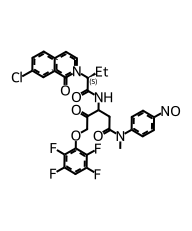 CC[C@@H](C(=O)NC(CC(=O)N(C)c1ccc(N=O)cc1)C(=O)COc1c(F)c(F)cc(F)c1F)n1ccc2ccc(Cl)cc2c1=O